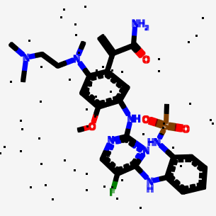 C=C(C(N)=O)c1cc(Nc2ncc(F)c(Nc3ccccc3NS(C)(=O)=O)n2)c(OC)cc1N(C)CCN(C)C